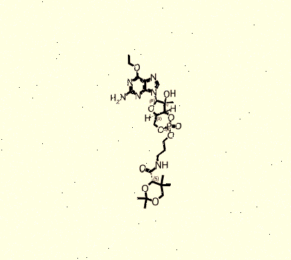 CCOc1nc(N)nc2c1ncn2[C@@H]1O[C@@H]2CO[P@@](=O)(OCCCNC(=O)[C@H]3OC(C)(C)OCC3(C)C)O[C@H]2[C@@]1(C)O